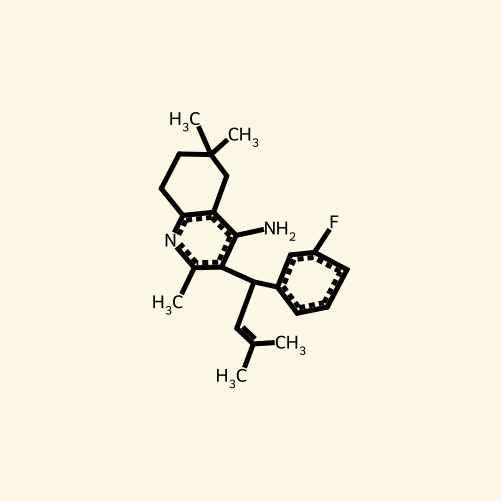 CC(C)=CC(c1cccc(F)c1)c1c(C)nc2c(c1N)CC(C)(C)CC2